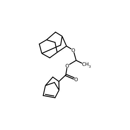 CC(OC(=O)C1CC2C=CC1C2)OC1C2CC3CC(C2)CC1C3